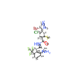 Cn1ncc(Br)c1C1=C(Cl)C=C(C(=O)N[C@H](CN)Cc2ccccc2C(F)(F)F)C(=S)C1